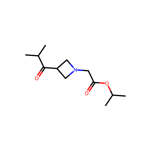 CC(C)OC(=O)CN1CC(C(=O)C(C)C)C1